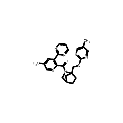 Cc1cnc(OCC23CCC(CN2C(=O)c2ncc(C)cc2-c2ncccn2)C3)nc1